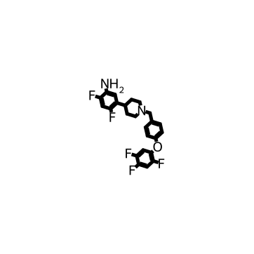 Nc1cc(C2CCN(Cc3ccc(Oc4cc(F)c(F)cc4F)cc3)CC2)c(F)cc1F